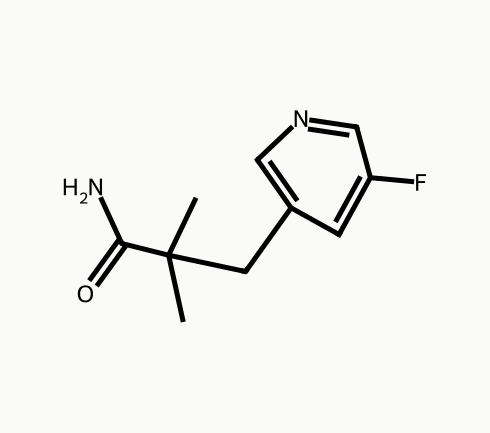 CC(C)(Cc1cncc(F)c1)C(N)=O